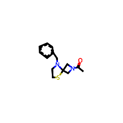 CC(=O)N1CC2(C1)SCCN2Cc1ccccc1